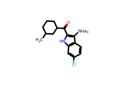 CC(=O)Nc1c(C(=O)C2CCCC(C)C2)[nH]c2cc(Cl)ccc12